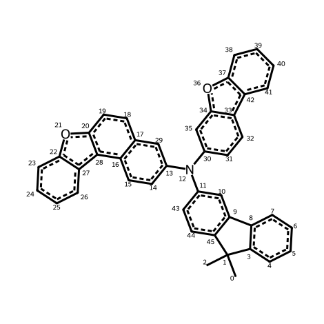 CC1(C)c2ccccc2-c2cc(N(c3ccc4c(ccc5oc6ccccc6c54)c3)c3ccc4c(c3)oc3ccccc34)ccc21